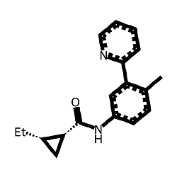 CC[C@H]1C[C@H]1C(=O)Nc1ccc(C)c(-c2ccccn2)c1